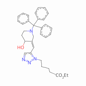 CCOC(=O)CCCCn1nncc1C=C1CN(C(c2ccccc2)(c2ccccc2)c2ccccc2)CCC1O